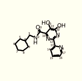 O=C(NCC1CCCCC1)c1nc(-c2ccccn2)nc(O)c1O